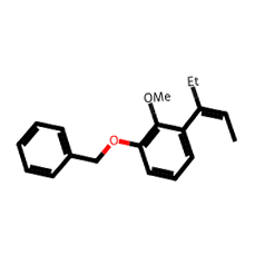 C/C=C(/CC)c1cccc(OCc2ccccc2)c1OC